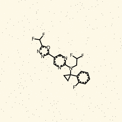 Fc1ccccc1C1(N(CC(F)F)c2ncc(-c3nnc(C(F)F)o3)cn2)CC1